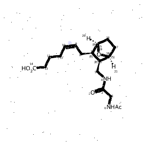 CC(=O)NCC(=O)NC[C@H]1[C@@H](C/C=C\CCCC(=O)O)[C@H]2CC[C@@H]1O2